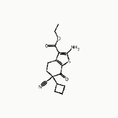 CCOC(=O)c1c(N)sc2c1CCC(C#N)(C1CCC1)C2=O